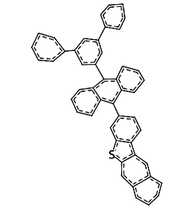 c1ccc(-c2cc(-c3ccccc3)cc(-c3c4ccccc4c(-c4ccc5c(c4)sc4cc6ccccc6cc45)c4ccccc34)c2)cc1